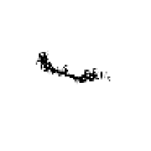 C=CC(CCCCCCOc1ccc(-c2ccc(C)c(F)c2F)c(F)c1)CCCCCCOc1ccc(-c2cc(F)c(F)c(F)c2)c(F)c1F